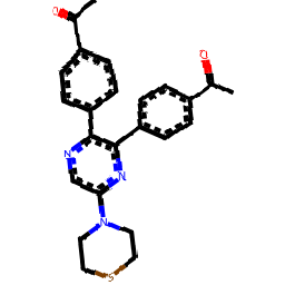 CC(=O)c1ccc(-c2ncc(N3CCSCC3)nc2-c2ccc(C(C)=O)cc2)cc1